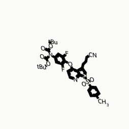 Cc1ccc(S(=O)(=O)n2cc(CCCC#N)c3c(Oc4c(F)cc(N(C(=O)OC(C)(C)C)C(=O)OC(C)(C)C)cc4F)ccnc32)cc1